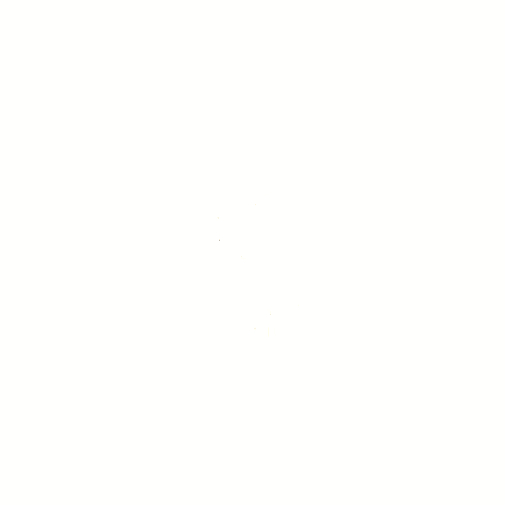 [CH]=C[C@H](O)Cc1cccc(C)c1